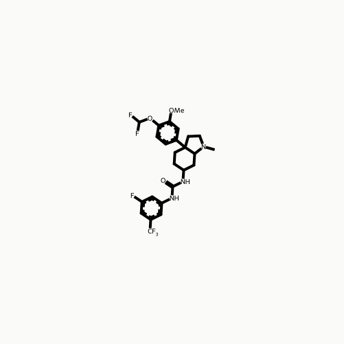 COc1cc(C23CCC(NC(=O)Nc4cc(F)cc(C(F)(F)F)c4)CC2N(C)CC3)ccc1OC(F)F